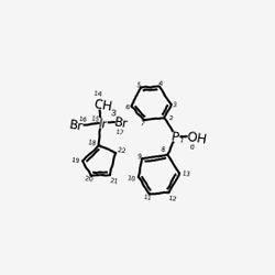 OP(c1ccccc1)c1ccccc1.[CH3][Ir]([Br])([Br])[C]1=CC=CC1